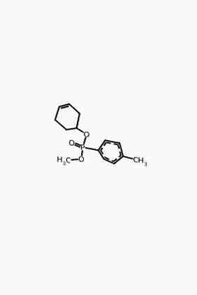 COP(=O)(OC1CC=CCC1)c1ccc(C)cc1